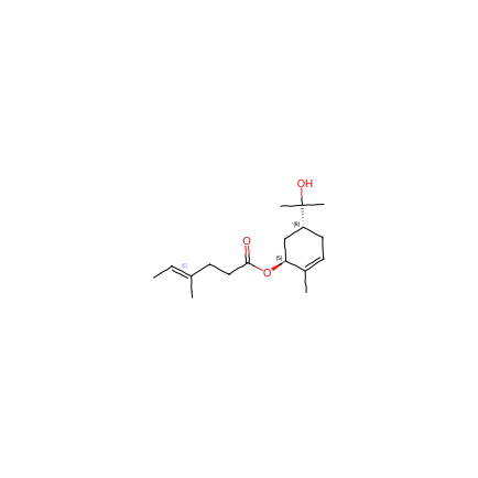 C/C=C(\C)CCC(=O)O[C@H]1C[C@H](C(C)(C)O)CC=C1C